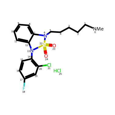 CNCCCCCN1c2ccccc2N(c2ccc(F)cc2Cl)S1(=O)=O.Cl